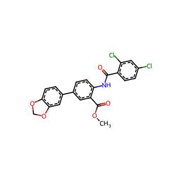 COC(=O)c1cc(-c2ccc3c(c2)OCO3)ccc1NC(=O)c1ccc(Cl)cc1Cl